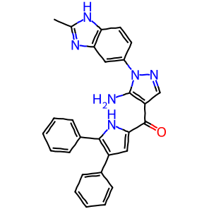 Cc1nc2cc(-n3ncc(C(=O)c4cc(-c5ccccc5)c(-c5ccccc5)[nH]4)c3N)ccc2[nH]1